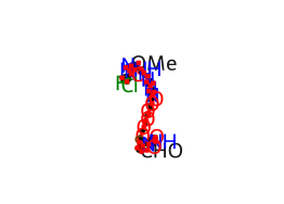 COc1cc2ncnc(Nc3ccc(F)c(Cl)c3)c2cc1NC(=O)/C=C/CN1CCC(N2CCN(C(=O)COCCOCCOCCOCCOCCSc3cccc(C=O)c3CN(C)C3CCC(=O)NC3=O)CC2)CC1